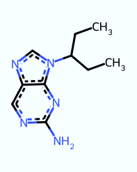 CCC(CC)n1cnc2cnc(N)nc21